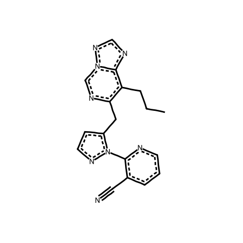 CCCc1c(Cc2ccnn2-c2ncccc2C#N)ncn2ncnc12